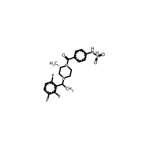 CC(c1c(F)ccc(F)c1F)N1CCN(C(=O)c2ccc(N[SH](=O)=O)cc2)[C@@H](C)C1